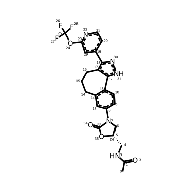 CC(=O)NC[C@H]1CN(c2ccc3c(c2)CCCc2c(-c4ccnc(OC(F)(F)F)c4)n[nH]c2-3)C(=O)O1